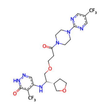 O=C(CCOCC(Nc1cn[nH]c(=O)c1C(F)(F)F)[C@@H]1CCOC1)N1CCN(c2ncc(C(F)(F)F)cn2)CC1